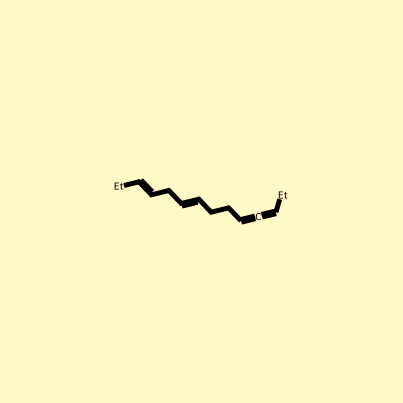 CCC=C=CCCC=CCC=CCC